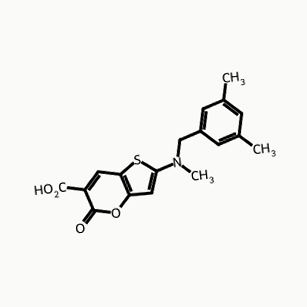 Cc1cc(C)cc(CN(C)c2cc3oc(=O)c(C(=O)O)cc3s2)c1